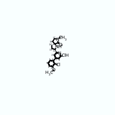 COc1cccc(-c2ccnc([C@H]3CC[C@@]4(CCN(C)C4=O)N3)c2)c1Cl.Cl